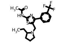 CCC1CCCN1Cc1sc(NC(C)=O)nc1-c1cccc(C(F)(F)F)c1